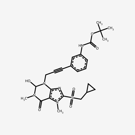 CN1C(=O)c2c(nc(S(=O)(=O)CC3CC3)n2C)N(CC#Cc2cccc(NC(=O)OC(C)(C)C)c2)C1O